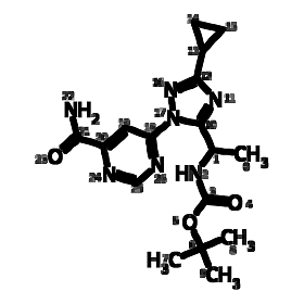 CC(NC(=O)OC(C)(C)C)c1nc(C2CC2)nn1-c1cc(C(N)=O)ncn1